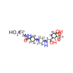 CS(=O)(=O)c1cc(C(O)CNC2CCN(c3ccc(C(=O)NCCC(=O)O)cc3)CC2)ccc1O